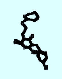 CSc1nc(=O)n(CCOC2CCCCO2)c(=O)n1Cc1ccc(Cl)cc1